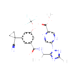 COC(=O)c1cnc(-n2nc(C)nc2C(C)NC(=O)c2cc(OC(F)(F)F)cc(C3(C#N)CC3)c2)cn1